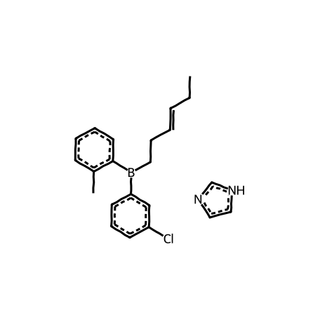 CCC=CCCB(c1cccc(Cl)c1)c1ccccc1C.c1c[nH]cn1